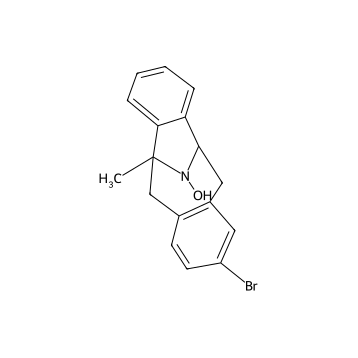 CC12Cc3ccc(Br)cc3CC(c3ccccc31)N2O